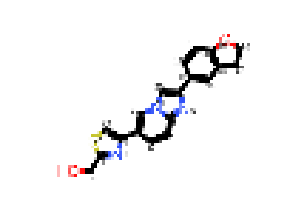 OCc1nc(-c2ccc3nc(-c4ccc5c(c4)CCO5)cn3c2)cs1